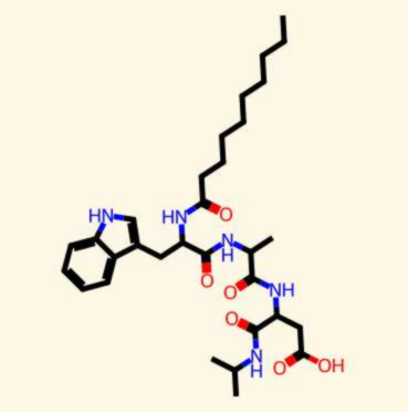 CCCCCCCCCC(=O)NC(Cc1c[nH]c2ccccc12)C(=O)NC(C)C(=O)NC(CC(=O)O)C(=O)NC(C)C